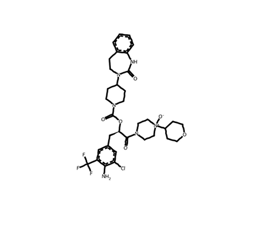 Nc1c(Cl)cc(C[C@@H](OC(=O)N2CCC(N3CCc4ccccc4NC3=O)CC2)C(=O)N2CC[N+]([O-])(C3CCOCC3)CC2)cc1C(F)(F)F